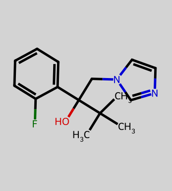 CC(C)(C)C(O)(Cn1ccnc1)c1ccccc1F